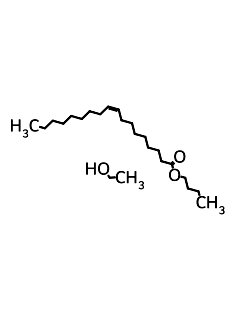 CCCCCCCC/C=C\CCCCCCCC(=O)OCCCC.CCO